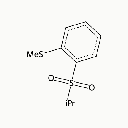 CSc1ccccc1S(=O)(=O)C(C)C